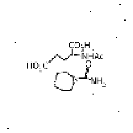 CC(=O)NC(CCC(=O)O)C(=O)O.NC(=O)N1CCCCC1